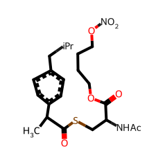 CC(=O)NC(CSC(=O)C(C)c1ccc(CC(C)C)cc1)C(=O)OCCCCO[N+](=O)[O-]